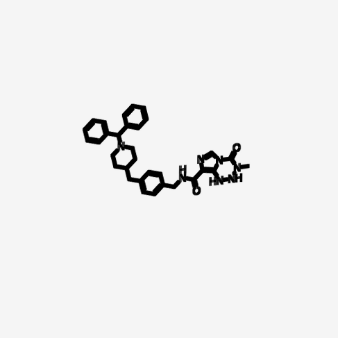 CN1NNc2c(C(=O)NCc3ccc(CC4CCN(C(c5ccccc5)c5ccccc5)CC4)cc3)ncn2C1=O